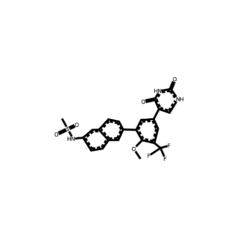 COc1c(-c2ccc3cc(NS(C)(=O)=O)ccc3c2)cc(-c2c[nH]c(=O)[nH]c2=O)cc1C(F)(F)F